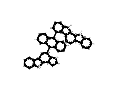 c1ccc2c(c1)oc1c3ccsc3c(-c3c4ccccc4c(-c4cccc5oc6c(ccc7c8ccccc8oc76)c45)c4ccccc34)cc21